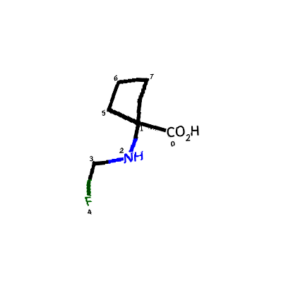 O=C(O)C1(NCF)CCC1